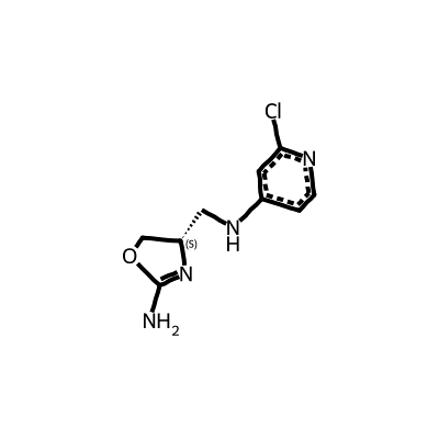 NC1=N[C@@H](CNc2ccnc(Cl)c2)CO1